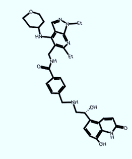 CCc1nc2c(cnn2CC)c(NC2CCOCC2)c1CNC(=O)c1ccc(CNC[C@H](O)c2ccc(O)c3[nH]c(=O)ccc23)cc1